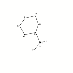 C[As](C)C1CCCCC1